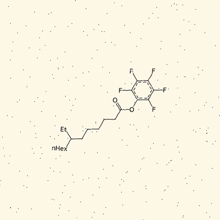 CCCCCCC(CC)CCCCCC(=O)Oc1c(F)c(F)c(F)c(F)c1F